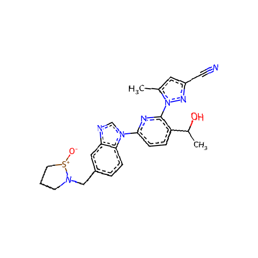 Cc1cc(C#N)nn1-c1nc(-n2cnc3cc(CN4CCC[S+]4[O-])ccc32)ccc1C(C)O